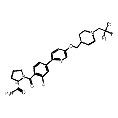 CCC(F)(CC)CN1CCC(COc2ccc(-c3ccc(C(=O)N4CCC[C@H]4C(N)=O)c(F)c3)nc2)CC1